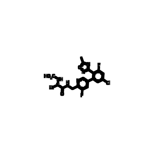 CCN(NC(=O)O)C(=O)NCc1ncc(-c2cc(Cl)cc(F)c2-c2noc(C)n2)cc1F